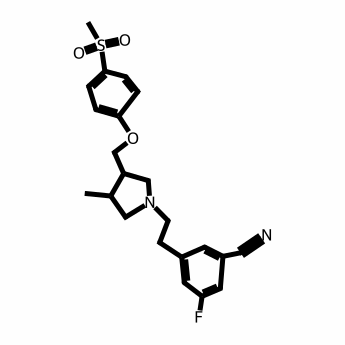 CC1CN(CCc2cc(F)cc(C#N)c2)CC1COc1ccc(S(C)(=O)=O)cc1